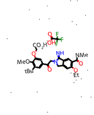 CCOc1cc2c(cc1C(=O)NC)C(=N)N(CC(=O)c1cc(OCC(=O)O)c(OC)c(C(C)(C)C)c1)C2.O=C(O)C(F)(F)F